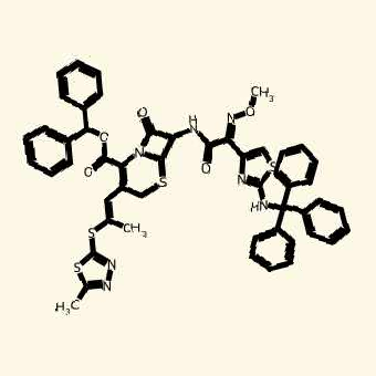 CON=C(C(=O)NC1C(=O)N2C(C(=O)OC(c3ccccc3)c3ccccc3)=C(C=C(C)Sc3nnc(C)s3)CSC12)c1csc(NC(c2ccccc2)(c2ccccc2)c2ccccc2)n1